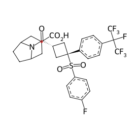 O=C(O)C1CC2CCC(C1)N2C(=O)[C@H]1C[C@@](c2ccc(C(F)(C(F)(F)F)C(F)(F)F)cc2)(S(=O)(=O)c2ccc(F)cc2)C1